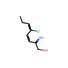 CC/C=C(Cl)\C=C/C(=N)CO